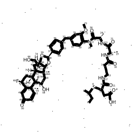 CCC(C)SC(CC(=O)O)C(=O)NCCC(=O)N[C@@H](C)C(=O)N[C@@H](C)C(=O)N(C)c1ccc(Cc2ccc([C@@H]3O[C@@H]4C[C@H]5[C@@H]6C[C@H](F)C7=CC(=O)C=C[C@]7(C)[C@@]6(F)[C@@H](O)C[C@]5(C)[C@]4(C(=O)CO)O3)cc2)cc1OC